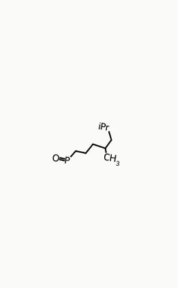 CC(C)CC(C)CCCP=O